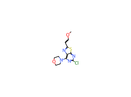 COC=Cc1nc2c(N3CCOCC3)nc(Cl)nc2s1